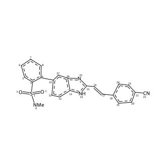 CNS(=O)(=O)c1ccccc1-c1ccc2[nH]c(/C=C/c3ccc(C#N)cc3)nc2c1